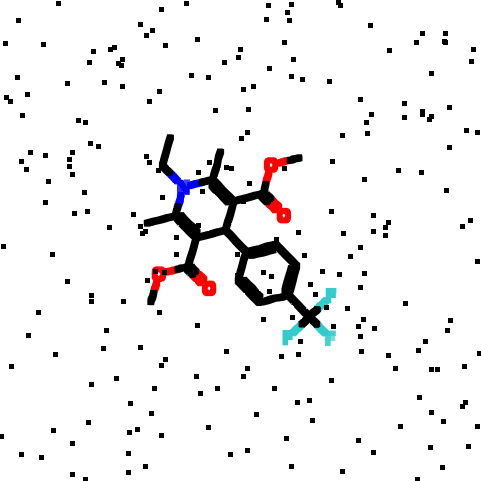 CCN1C(C)=C(C(=O)OC)C(c2ccc(C(F)(F)F)cc2)C(C(=O)OC)=C1C